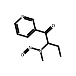 CCC(C(=O)c1cccnc1)N(C)N=O